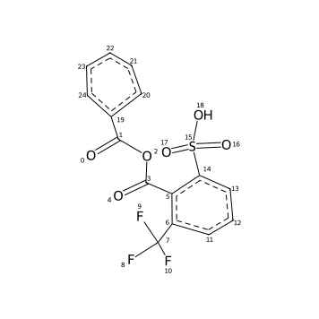 O=C(OC(=O)c1c(C(F)(F)F)cccc1S(=O)(=O)O)c1ccccc1